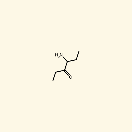 CCC(=O)C(N)CC